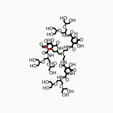 O=COCCCC(CN(CCNC(=O)c1cc(C(=O)NC(COC(CO)CO)COC(CO)CO)[nH]c(=O)c1O)CCNC(=O)c1cc(C(=O)NC(COC(CO)CO)COC(CO)CO)[nH]c(=O)c1O)NC(=O)c1cc(C(=O)NC(COC(CO)CO)COC(CO)CO)[nH]c(=O)c1O